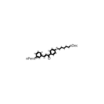 CCCCCCCCCCCCCCCSc1ccc(C(=O)/C=C/c2cccc(CCCCC)c2)cc1